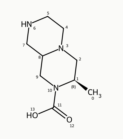 C[C@@H]1CN2CCNCC2CN1C(=O)O